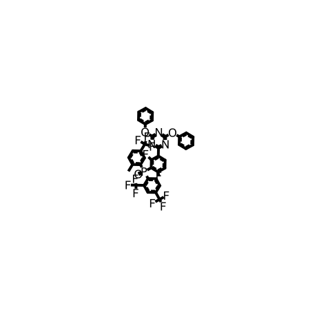 Cc1ccc(C(F)(F)F)cc1P(=O)(c1ccc(C(F)(F)F)cc1C(F)(F)F)c1c(F)ccc(-c2nc(Oc3ccccc3)nc(Oc3ccccc3)n2)c1F